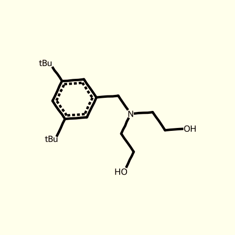 CC(C)(C)c1cc(CN(CCO)CCO)cc(C(C)(C)C)c1